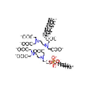 O=C([O-])CN(CCN(CC(=O)[O-])CC(=O)[O-])CC(=O)[O-].O=C([O-])CN(CCN(CC(=O)[O-])CC(=O)[O-])CC(=O)[O-].O=P([O-])([O-])[O-].[Na+].[Na+].[Na+].[Na+].[Na+].[Na+].[Na+].[Na+].[Na+].[Na+].[Na+]